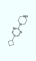 c1nc(N2CCNCC2)ncc1C1CCC1